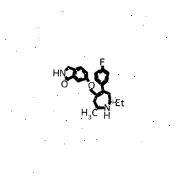 CC[C@H]1CC(c2ccc(F)cc2)=C(COc2ccc3c(c2)C(=O)NC3)C[C@@H](C)N1